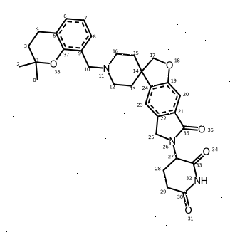 CC1(C)CCc2cccc(CN3CCC4(CC3)COc3cc5c(cc34)CN(C3CCC(=O)NC3=O)C5=O)c2O1